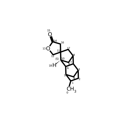 CC1CC2CC1C1C2C2C[C@@H]1C1(COC(=O)C1)C2